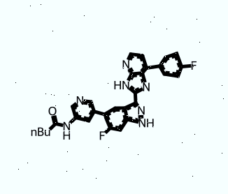 CCCCC(=O)Nc1cncc(-c2cc3c(-c4nc5c(-c6ccc(F)cc6)ccnc5[nH]4)n[nH]c3cc2F)c1